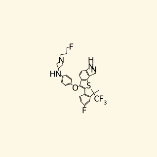 CC(C)(c1cc(F)ccc1-c1sc2c(ccc3[nH]ncc32)c1Oc1ccc(NC2CN(CCCF)C2)cc1)C(F)(F)F